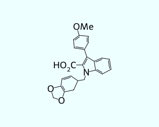 COc1ccc(-c2c(C(=O)O)n(CC3C=CC4=C(C3)OCO4)c3ccccc23)cc1